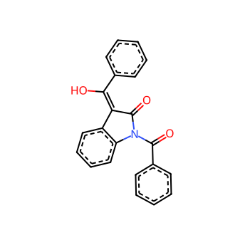 O=C1C(=C(O)c2ccccc2)c2ccccc2N1C(=O)c1ccccc1